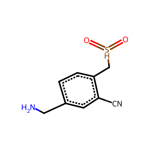 N#Cc1cc(CN)ccc1C[SH](=O)=O